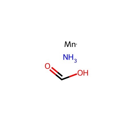 N.O=CO.[Mn]